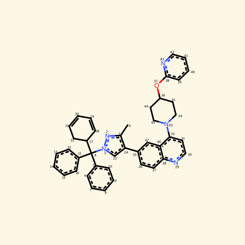 Cc1nn(C(c2ccccc2)(c2ccccc2)C2C=CC=CC2)cc1-c1ccc2nccc(N3CCC(Oc4ccccn4)CC3)c2c1